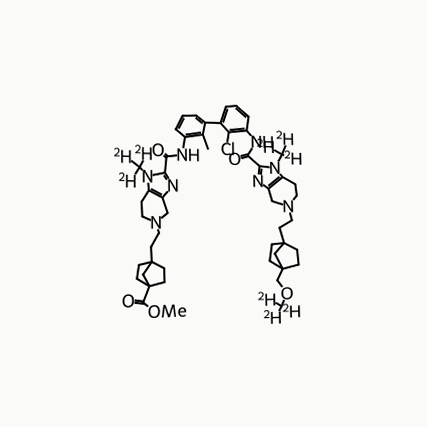 [2H]C([2H])([2H])OCC12CCC(CCN3CCc4c(nc(C(=O)Nc5cccc(-c6cccc(NC(=O)c7nc8c(n7C([2H])([2H])[2H])CCN(CCC79CCC(C(=O)OC)(CC7)C9)C8)c6C)c5Cl)n4C([2H])([2H])[2H])C3)(CC1)C2